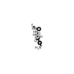 NCc1ccc(-c2c[nH]c(NC(=O)NC3CCCC[C@H]3NCCF)nc2=O)cc1